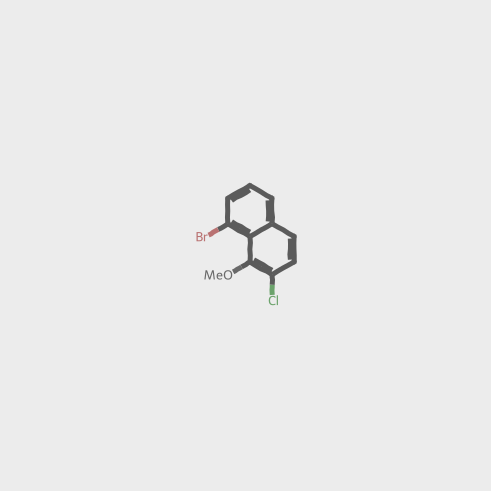 COc1c(Cl)ccc2cccc(Br)c12